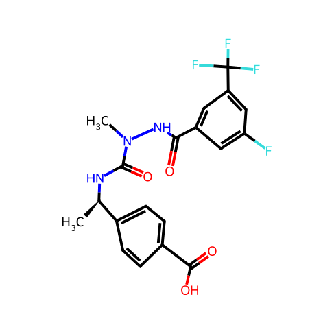 C[C@@H](NC(=O)N(C)NC(=O)c1cc(F)cc(C(F)(F)F)c1)c1ccc(C(=O)O)cc1